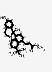 COC(=O)/C=C/c1ccc(C2(C)c3ccc(O)cc3CCN2c2ccc(C(C)(C)C)cc2)cc1